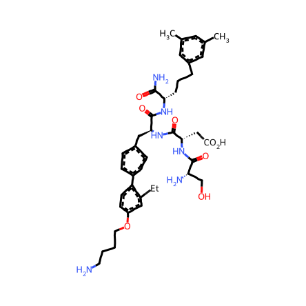 CCc1cc(OCCCCN)ccc1-c1ccc(C[C@H](NC(=O)[C@H](CC(=O)O)NC(=O)[C@@H](N)CO)C(=O)N[C@@H](CCCc2cc(C)cc(C)c2)C(N)=O)cc1